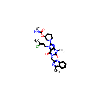 CC(Cl)=CCn1c(N2CCCC(OC(=O)NC(C)C)C2)nc2c1c(=O)n(Cc1nc(C)c3ccccc3n1)c(=O)n2C